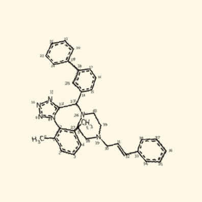 Cc1cccc(C)c1-n1nnnc1C(c1cccc(-c2ccccc2)c1)N1CCN(C/C=C/c2ccccc2)CC1